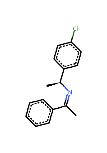 CC(=N[C@@H](C)c1ccc(Cl)cc1)c1ccccc1